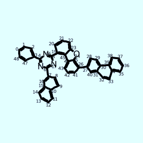 c1ccc(-c2nc(-c3ccc4ccccc4c3)nc(-c3cccc4oc5c(-c6ccc7c(ccc8ccccc87)c6)cccc5c34)n2)cc1